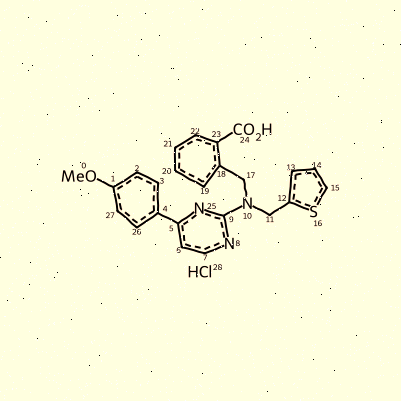 COc1ccc(-c2ccnc(N(Cc3cccs3)Cc3ccccc3C(=O)O)n2)cc1.Cl